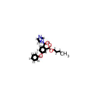 CCCCOC(=O)c1cc(Oc2ccccc2)ccc1C(=O)n1ccnc1